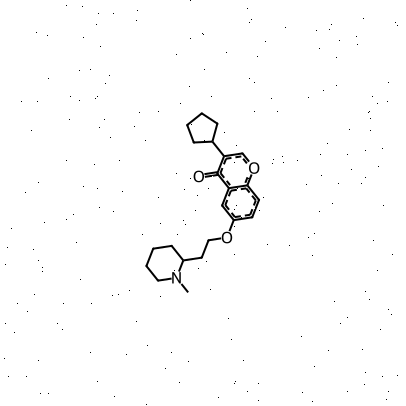 CN1CCCCC1CCOc1ccc2occ(C3CCCC3)c(=O)c2c1